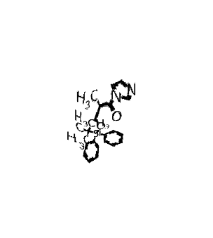 C[C@H](CO[Si](c1ccccc1)(c1ccccc1)C(C)(C)C)C(=O)n1ccnc1